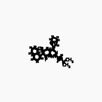 CN(C)C12CC1(c1nc(N3CC4CCC(C3)N4)c3cc(Cl)c(-c4cccc5ccccc45)c(F)c3n1)C2